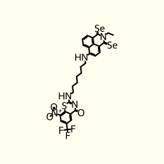 CCN1C(=[Se])c2cccc3c(NCCCCCCCNc4nc(=O)c5cc(C(F)(F)F)cc([N+](=O)[O-])c5s4)ccc(c23)C1=[Se]